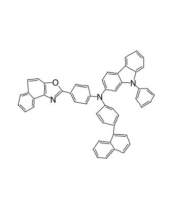 c1ccc(-n2c3ccccc3c3ccc(N(c4ccc(-c5nc6c(ccc7ccccc76)o5)cc4)c4ccc(-c5cccc6ccccc56)cc4)cc32)cc1